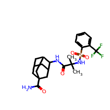 CC(C)(NS(=O)(=O)c1ccccc1C(F)(F)F)C(=O)NC1C2CC3CC1CC(C(N)=O)(C3)C2